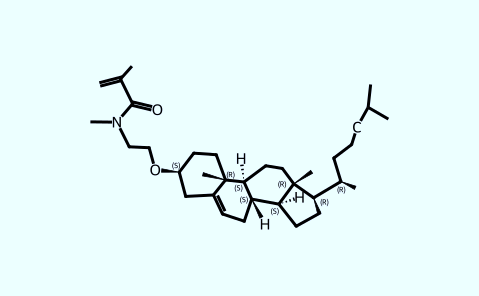 C=C(C)C(=O)N(C)CCO[C@H]1CC[C@@]2(C)C(=CC[C@H]3[C@@H]4CC[C@H]([C@H](C)CCCC(C)C)[C@@]4(C)CC[C@@H]32)C1